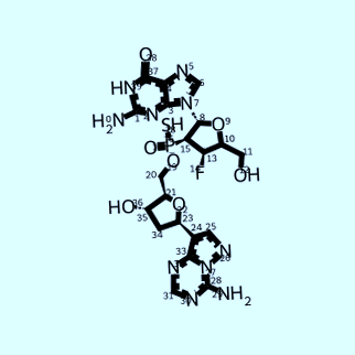 Nc1nc2c(ncn2[C@@H]2OC(CO)[C@@H](F)[C@H]2P(=O)(S)OC[C@H]2O[C@@H](c3cnn4c(N)ncnc34)C[C@@H]2O)c(=O)[nH]1